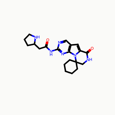 O=C(CC1CCCN1)Nc1ncc2cc3n(c2n1)C1(CCCCC1)CNC3=O